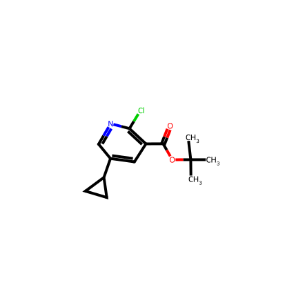 CC(C)(C)OC(=O)c1cc(C2CC2)cnc1Cl